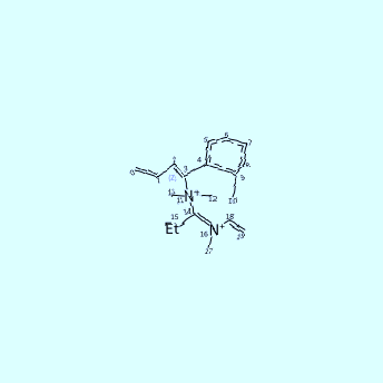 C=C/C=C(/c1ccccc1C)[N+](C)(C)C(CC)=[N+](C)C=C